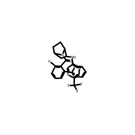 O=C(c1c(F)cccc1-c1ncccn1)N1C2CCC1C(Nc1cnc(C(F)(F)F)cn1)C2